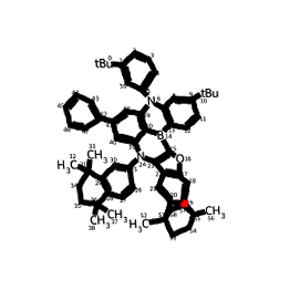 CC(C)(C)c1cccc(N2c3cc(C(C)(C)C)ccc3B3c4oc5cc6c(cc5c4N(c4ccc5c(c4)C(C)(C)CCC5(C)C)c4cc(-c5ccccc5)cc2c43)C2(C)CCC6(C)CC2)c1